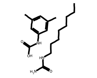 CCCCCCCCNC(N)=O.Cc1cc(C)cc(NC(=O)O)c1